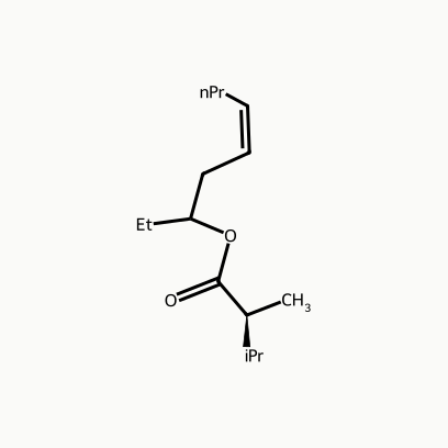 CCC/C=C\CC(CC)OC(=O)[C@@H](C)C(C)C